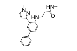 CNC(=O)CCNc1ccc(-c2ccccc2)cc1-c1ccn(C)n1